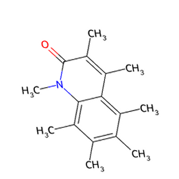 Cc1c(C)c(C)c2c(c1C)c(C)c(C)c(=O)n2C